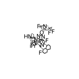 CC(C)[Si](C#Cc1c(F)ccc2cccc(-c3ncc4c(N(C)[C@@H]5CCN[C@@H]5C)nc(OC[C@]56C[C@@H](F)CN5C[C@@]5(CC5(F)F)C6)nc4c3F)c12)(C(C)C)C(C)C